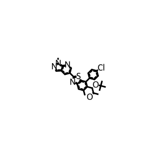 CC(=O)[C@@H](OC(C)(C)C)c1c(C)cc2nc(-c3cnc4c(cnn4C)c3)sc2c1-c1ccc(Cl)cc1